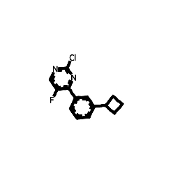 Fc1cnc(Cl)nc1-c1cccc(C2CCC2)c1